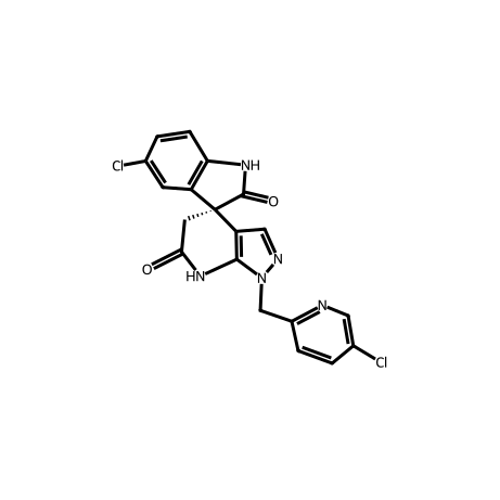 O=C1C[C@]2(C(=O)Nc3ccc(Cl)cc32)c2cnn(Cc3ccc(Cl)cn3)c2N1